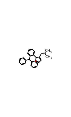 CN(C)CC1=CC=CC1c1ccccc1[C](c1ccccc1)c1ccccc1